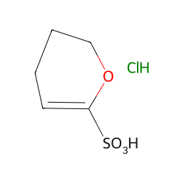 Cl.O=S(=O)(O)C1=CCCCO1